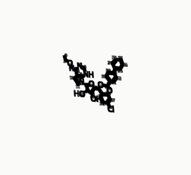 CCO/N=c1\nc[nH]c2c1ccn2[C@@H]1O[C@H]([C@H](OC(=O)c2ccc(-c3ccccc3)cc2)c2ccc(Cl)cc2)[C@@H](O)[C@H]1O